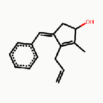 C=CCC1=C(C)C(O)CC1=Cc1ccccc1